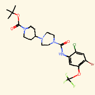 CC(C)(C)OC(=O)N1CCC(N2CCN(C(=O)Nc3cc(OC(F)(F)F)c(Br)cc3Cl)CC2)CC1